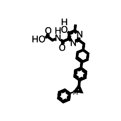 Cc1nc(CC2CC=C(c3ccc(C4C[C@H]4c4ccccc4)cc3)CC2)nc(C(=O)NCC(=O)O)c1O